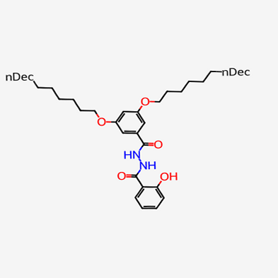 CCCCCCCCCCCCCCCCOc1cc(OCCCCCCCCCCCCCCCC)cc(C(=O)NNC(=O)c2ccccc2O)c1